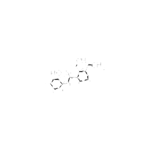 C=Cc1cccc(C(=Cc2ccccc2)S(=O)(=O)O)c1C=C